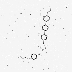 CCCCCc1ccc(C(F)(F)OC2COC(c3ccc(-c4ccc(-c5ccc(CCC)c(F)c5)c(F)c4)c(F)c3)OC2)cc1